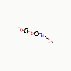 CCOCCC/N=C/c1ccc(OCc2ccc(OCC)cc2)cc1